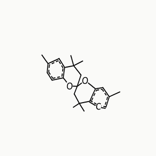 Cc1ccc2c(c1)OC1(CC2(C)C)CC(C)(C)c2cc(C)ccc2O1